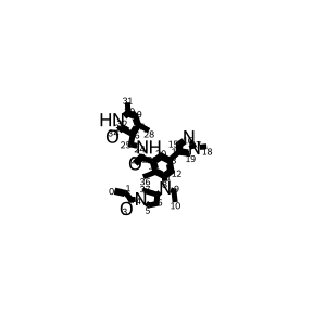 C=CC(=O)N1CCC(N(CC)c2cc(-c3cnn(C)c3)cc(C(=O)NCc3c(C)cc(C)[nH]c3=O)c2C)C1